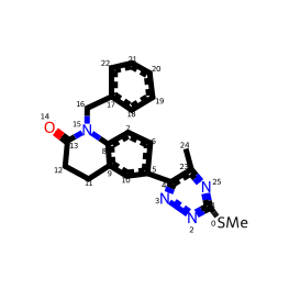 CSc1nnc(-c2ccc3c(c2)CCC(=O)N3Cc2ccccc2)c(C)n1